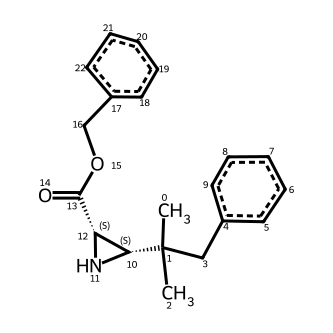 CC(C)(Cc1ccccc1)[C@@H]1N[C@@H]1C(=O)OCc1ccccc1